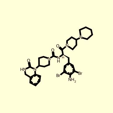 Nc1c(Br)cc(C[C@@H](NC(=O)N2CCC(N3C(=O)NCc4ccccc43)CC2)C(=O)N2CCC(N3CCCCC3)CC2)cc1Br